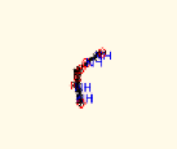 CC(C)(COCCONCCCNC=O)COCCC(=O)NCCCNC=O